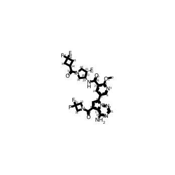 COc1ncc(-c2cc(C(=O)N3CC(F)(F)C3)c3c(N)ncnn23)cc1C(=O)N[C@@H]1CN(C(=O)C2CC(F)(F)C2)C[C@@H]1F